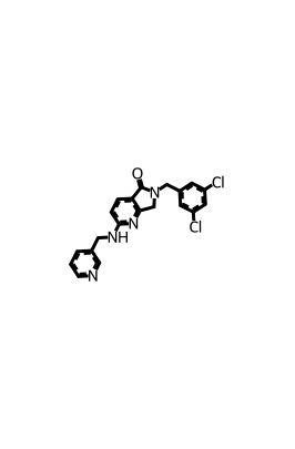 O=C1c2ccc(NCc3cccnc3)nc2CN1Cc1cc(Cl)cc(Cl)c1